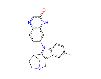 O=c1cnc2ccc(-n3c4c(c5cc(F)ccc53)CN3CCC4CC3)cc2[nH]1